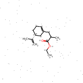 C=C(C)[C@@H]1CCC=C(CC(C)C(=O)OCC)C1